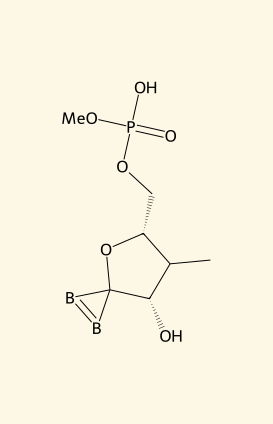 COP(=O)(O)OC[C@H]1OC2(B=B2)[C@@H](O)C1C